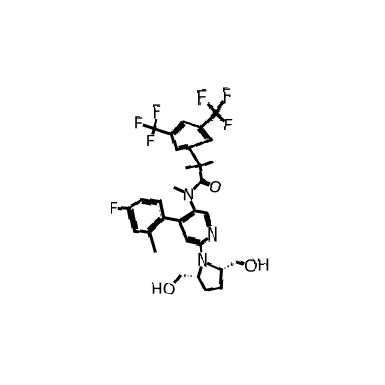 Cc1cc(F)ccc1-c1cc(N2[C@H](CO)CC[C@@H]2CO)ncc1N(C)C(=O)C(C)(C)c1cc(C(F)(F)F)cc(C(F)(F)F)c1